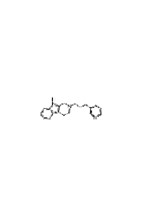 c1cncc(CCCN2CCc3c([nH]c4ccccc34)C2)c1